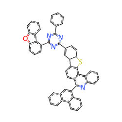 C1=CC2Sc3c(ccc4c(-c5cc6ccccc6c6ccccc56)nc5ccccc5c34)C2C=C1c1nc(-c2ccccc2)nc(-c2cccc3oc4ccccc4c23)n1